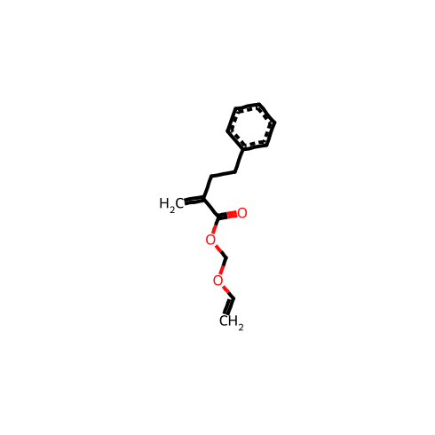 C=COCOC(=O)C(=C)CCc1ccccc1